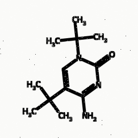 CC(C)(C)c1cn(C(C)(C)C)c(=O)nc1N